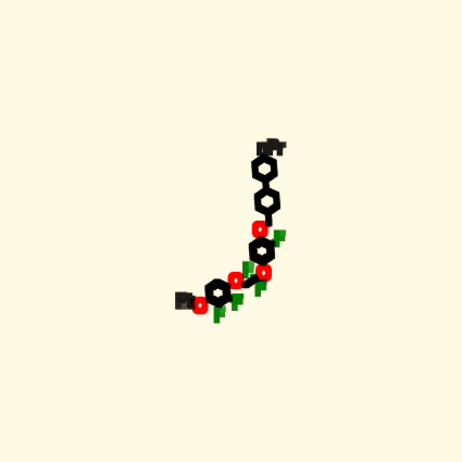 CCCC1CCC(C2CCC(COc3ccc(OC(F)(F)COc4ccc(OCC)c(F)c4F)cc3F)CC2)CC1